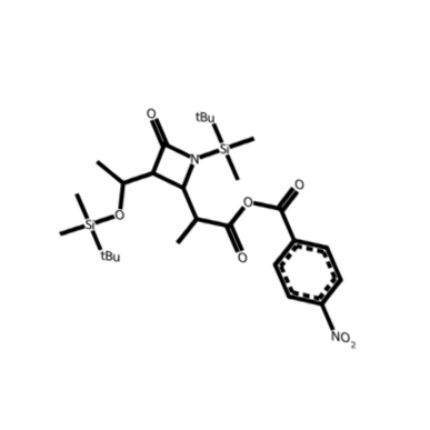 CC(O[Si](C)(C)C(C)(C)C)C1C(=O)N([Si](C)(C)C(C)(C)C)C1C(C)C(=O)OC(=O)c1ccc([N+](=O)[O-])cc1